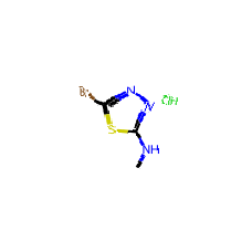 CNc1nnc(Br)s1.Cl